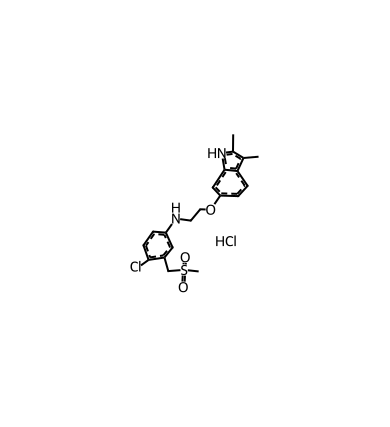 Cc1[nH]c2cc(OCCNc3ccc(Cl)c(CS(C)(=O)=O)c3)ccc2c1C.Cl